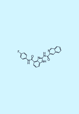 O=C(Nc1nc2c(C(=O)Nc3ccc(F)cc3)cccc2[nH]1)c1cc2ccccc2cn1